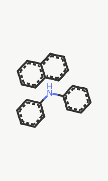 c1ccc(Nc2ccccc2)cc1.c1ccc2ccccc2c1